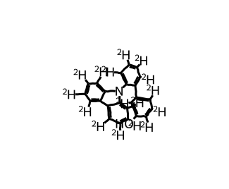 [2H]c1c([2H])c(O)c([2H])c(-c2c([2H])c([2H])c([2H])c([2H])c2-n2c3c([2H])c([2H])c([2H])c([2H])c3c3c([2H])c([2H])c([2H])c([2H])c32)c1[2H]